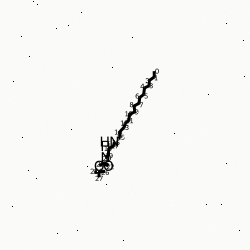 CCCCCCCCCCCCCCCCNCCCNC(=O)OC(C)(C)C